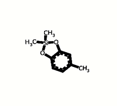 Cc1ccc2c(c1)O[Si](C)(C)O2